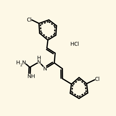 Cl.N=C(N)NN=C(C=Cc1cccc(Cl)c1)C=Cc1cccc(Cl)c1